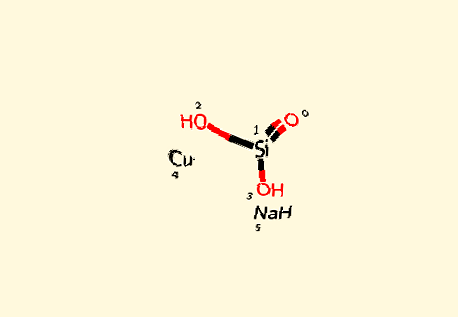 O=[Si](O)O.[Cu].[NaH]